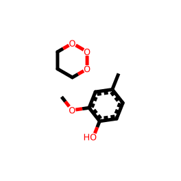 C1COOOC1.COc1cc(C)ccc1O